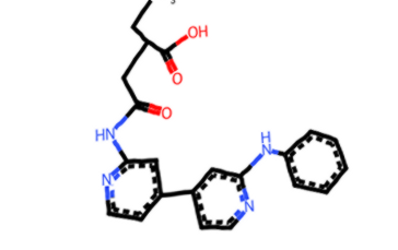 CCC(CC(=O)Nc1cc(-c2ccnc(Nc3ccccc3)c2)ccn1)C(=O)O